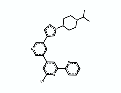 CC(C)N1CCC(n2cc(-c3cncc(-c4cc(N)nc(-c5ccccn5)c4)c3)cn2)CC1